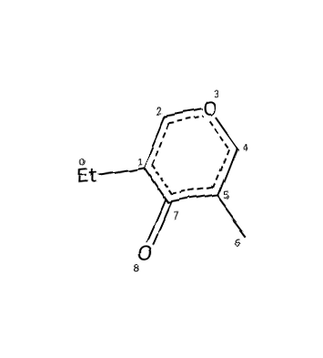 CCc1cocc(C)c1=O